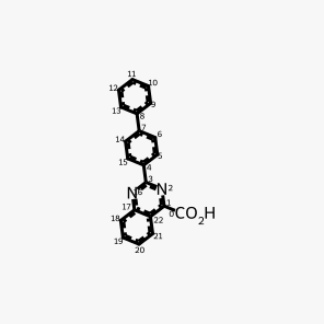 O=C(O)c1nc(-c2ccc(-c3ccccc3)cc2)nc2ccccc12